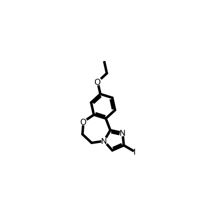 CCOc1ccc2c(c1)OCCn1cc(I)nc1-2